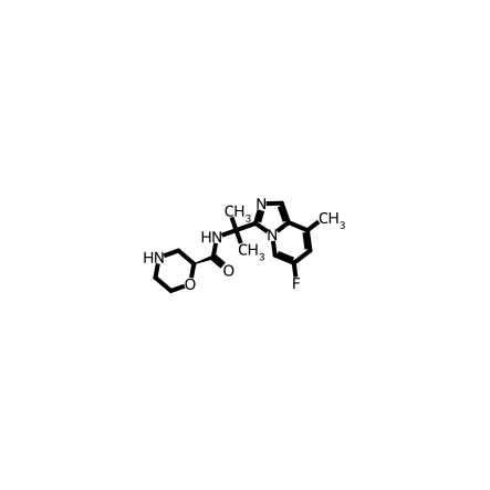 Cc1cc(F)cn2c(C(C)(C)NC(=O)[C@@H]3CNCCO3)ncc12